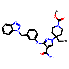 CC(C)(C)OC(=O)N1CCC(CC#N)(n2cc(C(N)=O)c(Nc3cccc(Cn4nnc5ccccc54)c3)n2)CC1